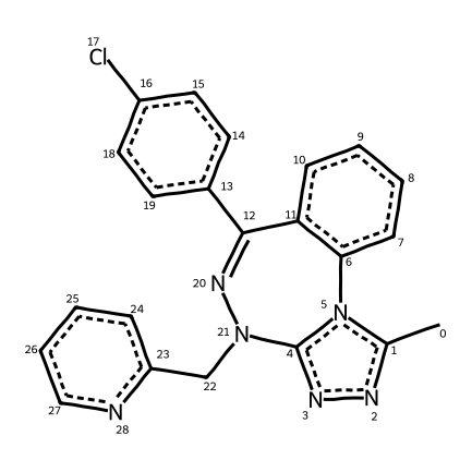 Cc1nnc2n1-c1ccccc1C(c1ccc(Cl)cc1)=NN2Cc1ccccn1